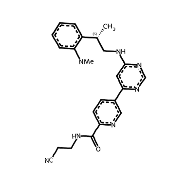 CNc1ccccc1[C@H](C)CNc1cc(-c2ccc(C(=O)NCCC#N)nc2)ncn1